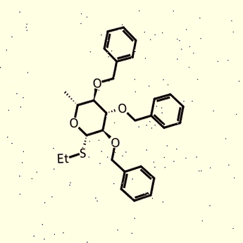 CCS[C@@H]1O[C@H](C)[C@@H](OCc2ccccc2)[C@H](OCc2ccccc2)[C@H]1OCc1ccccc1